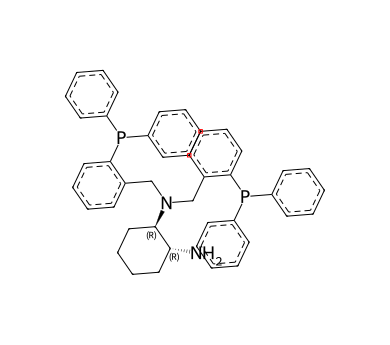 N[C@@H]1CCCC[C@H]1N(Cc1ccccc1P(c1ccccc1)c1ccccc1)Cc1ccccc1P(c1ccccc1)c1ccccc1